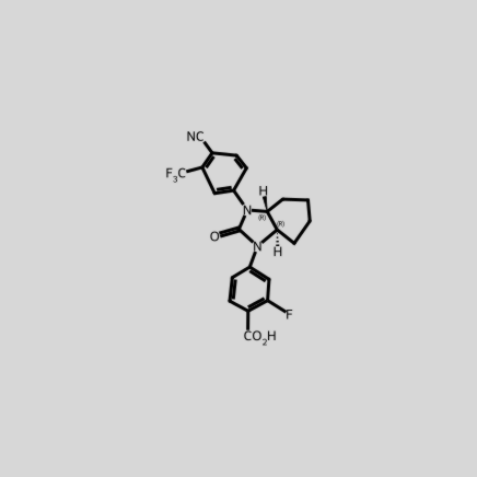 N#Cc1ccc(N2C(=O)N(c3ccc(C(=O)O)c(F)c3)[C@@H]3CCCC[C@H]32)cc1C(F)(F)F